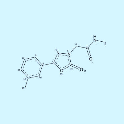 CNC(=O)Cn1nc(-c2cccc(C)c2)oc1=O